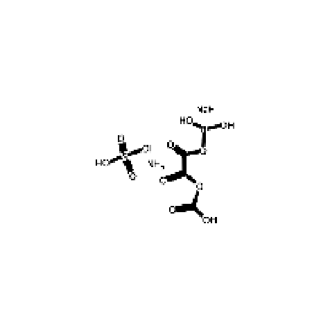 N.O=C(O)OC(=O)C(=O)OB(O)O.O=S(=O)(O)O.[NaH]